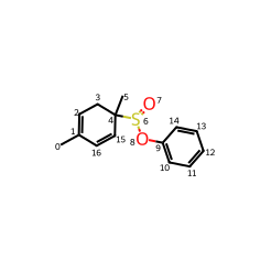 CC1=CCC(C)(S(=O)Oc2ccccc2)C=C1